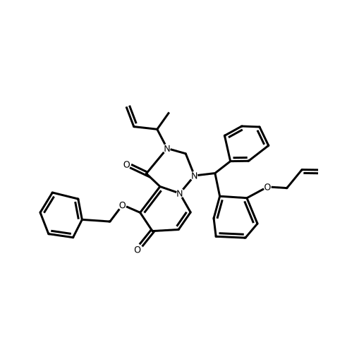 C=CCOc1ccccc1C(c1ccccc1)N1CN(C(C)C=C)C(=O)c2c(OCc3ccccc3)c(=O)ccn21